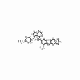 Cc1cc(Nc2ncnn3ccc(CN4CCN(C)CC4)c23)ccc1Oc1ccn2ncnc2c1